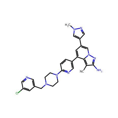 Cn1cc(-c2cc(-c3ccc(N4CCN(Cc5cncc(Cl)c5)CC4)nc3)c3c(C#N)c(N)nn3c2)cn1